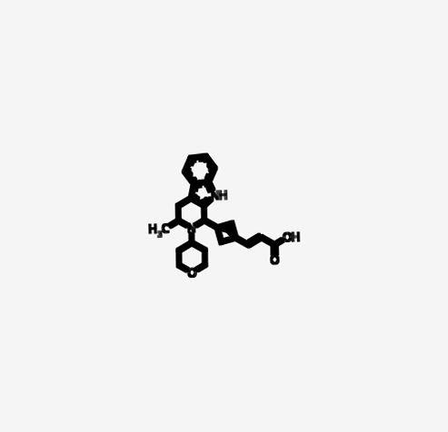 CC1Cc2c([nH]c3ccccc23)C(C23CC(/C=C/C(=O)O)(C2)C3)N1C1CCOCC1